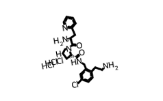 Cl.Cl.Cl.NCCc1ccc(Cl)cc1CNC(=O)[C@@H]1CCCN1C(=O)[C@H](N)Cc1ccccn1